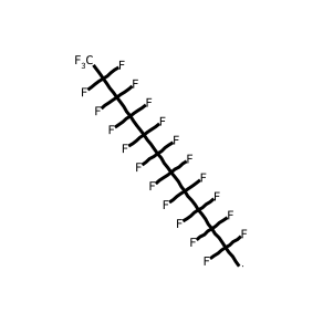 [CH2]C(F)(F)C(F)(F)C(F)(F)C(F)(F)C(F)(F)C(F)(F)C(F)(F)C(F)(F)C(F)(F)C(F)(F)C(F)(F)F